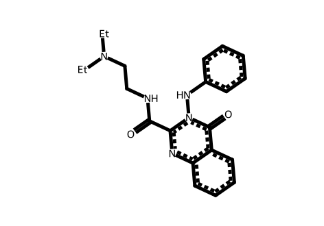 CCN(CC)CCNC(=O)c1nc2ccccc2c(=O)n1Nc1ccccc1